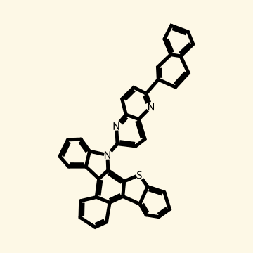 c1ccc2cc(-c3ccc4nc(-n5c6ccccc6c6c7ccccc7c7c8ccccc8sc7c65)ccc4n3)ccc2c1